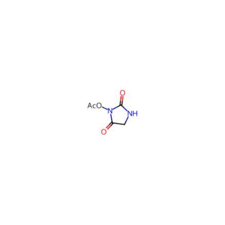 CC(=O)ON1C(=O)CNC1=O